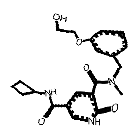 CN(Cc1cccc(OCCO)c1)C(=O)c1cc(C(=O)NC2CCC2)c[nH]c1=O